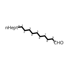 [CH2]CCCCCCCCCCCCCCCC=O